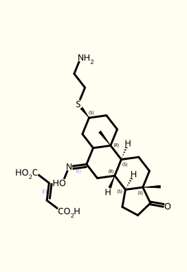 C[C@]12CC[C@H](SCCN)CC1/C(=N/O)C[C@@H]1[C@@H]2CC[C@]2(C)C(=O)CC[C@@H]12.O=C(O)/C=C/C(=O)O